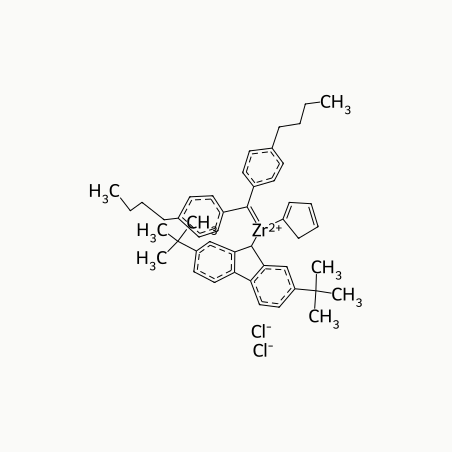 CCCCc1ccc([C](c2ccc(CCCC)cc2)=[Zr+2]([C]2=CC=CC2)[CH]2c3cc(C(C)(C)C)ccc3-c3ccc(C(C)(C)C)cc32)cc1.[Cl-].[Cl-]